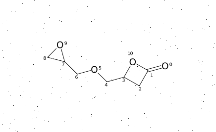 O=C1CC(COCC2CO2)O1